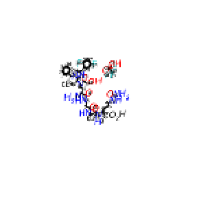 C[C@H](NC(=O)CCNC(=O)[C@@H](N)CCN(C(=O)CO)[C@@H](c1nc(-c2cc(F)ccc2F)cn1Cc1ccccc1)C(C)(C)C)C(=O)N[C@@H](CCCNC(N)=O)C(=O)O.O=C(O)C(F)(F)F